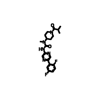 CC(C)C(=O)N1CCC(N(C)C(=O)Nc2cnc(-c3cc(F)ccc3F)cn2)CC1